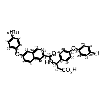 CC(C)(C)c1ccc(Oc2ccc3cc(C(=O)NC(CC(=O)O)c4ccc(Oc5ccc(Cl)cc5)cc4)ncc3c2)cc1